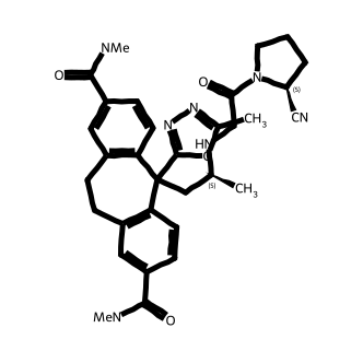 CNC(=O)c1ccc2c(c1)CCc1cc(C(=O)NC)ccc1C2(C[C@H](C)NCC(=O)N1CCC[C@H]1C#N)c1nnc(C)o1